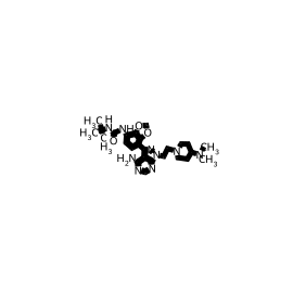 CN(C)C1CCN(CCn2nc(-c3ccc(NC(=O)NC(C)(C)C)c4c3OCO4)c3c(N)ncnc32)CC1